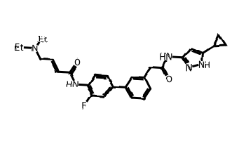 CCN(CC)C/C=C/C(=O)Nc1ccc(-c2cccc(CC(=O)Nc3cc(C4CC4)[nH]n3)c2)cc1F